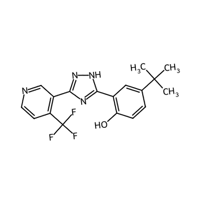 CC(C)(C)c1ccc(O)c(-c2nc(-c3cnccc3C(F)(F)F)n[nH]2)c1